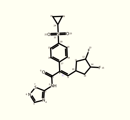 O=C(Nc1ncns1)/C(=C/C1CC(F)C(F)C1)c1ccc(S(=O)(=O)C2CC2)cc1